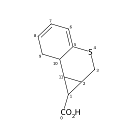 O=C(O)C1C2CSC3=CC=CCC3C21